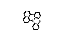 Brc1ccccc1N1c2ccccc2-c2cccc3cccc1c23